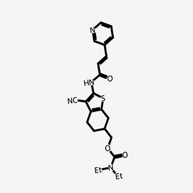 CCN(CC)C(=O)OCC1CCc2c(sc(NC(=O)/C=C/c3cccnc3)c2C#N)C1